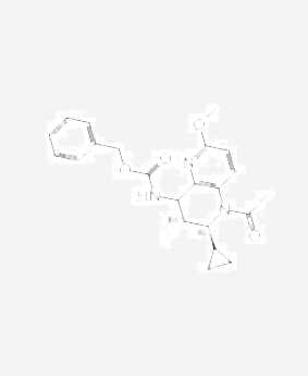 COc1ccc2c(n1)C(NC(=O)OCc1ccccc1)[C@@H](C)[C@H](C1CC1)N2C(C)=O